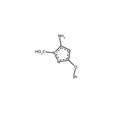 CC(C)Oc1cc(N)n(C(=O)O)n1